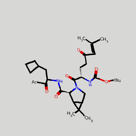 CC(=O)C(=O)C(CC1CCC1)NC(=O)[C@@H]1C2C(CN1C(=O)[C@H](CCC(=O)C=C(C)C)NC(=O)OC(C)(C)C)C2(C)C